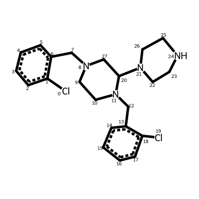 Clc1ccccc1CN1CCN(Cc2ccccc2Cl)C(N2CCNCC2)C1